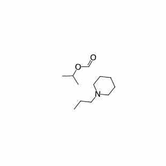 CC(C)OC=O.CCCN1CCCCC1